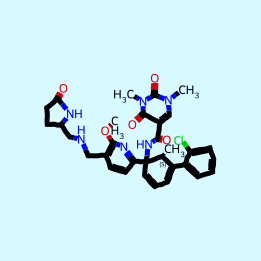 COc1nc(C2(NC(=O)c3cn(C)c(=O)n(C)c3=O)C=CC=C(c3ccccc3Cl)[C@@H]2C)ccc1CNCC1CCC(=O)N1